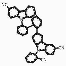 N#Cc1ccc2c(c1)c1cc(-c3ccccc3-c3ccccc3-n3c4ccccc4c4cc(C#N)ccc43)ccc1n2-c1ccccc1C#N